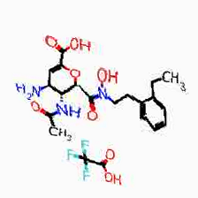 CCc1ccccc1CCN(O)C(=O)[C@@H]1OC(C(=O)O)=C[C@H](N)[C@H]1NC(C)=O.O=C(O)C(F)(F)F